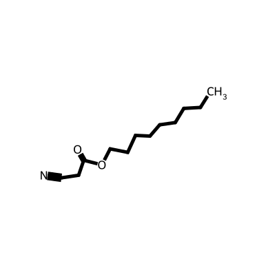 CCCCCCCCCOC(=O)CC#N